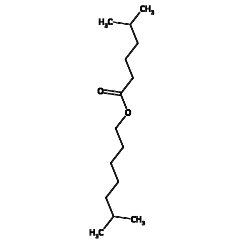 CC(C)CCCCCOC(=O)CCCC(C)C